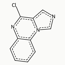 Clc1nc2ccccc2n2cncc12